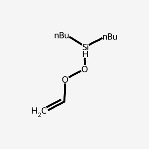 C=COO[SiH](CCCC)CCCC